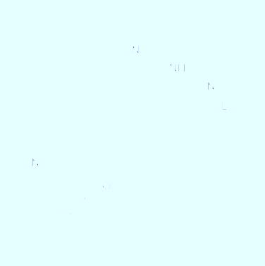 CCNC(=O)Nc1cc2cc(-c3cncc(S(C)(=O)=O)c3)cc(C)c2cn1